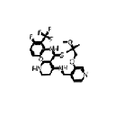 COC(C)(C)COc1cnccc1CNC1=C(C(=S)Nc2cccc(F)c2C(F)(F)F)C(=O)NCC1